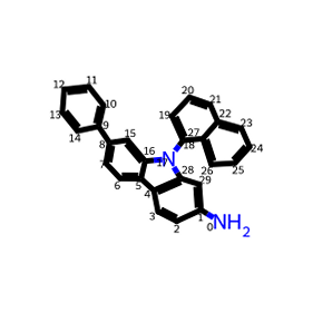 Nc1ccc2c3ccc(-c4ccccc4)cc3n(-c3cccc4ccccc34)c2c1